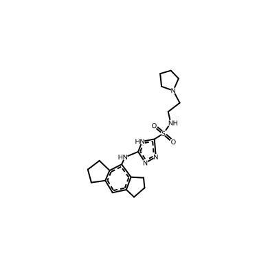 O=S(=O)(NCCN1CCCC1)c1nnc(Nc2c3c(cc4c2CCC4)CCC3)[nH]1